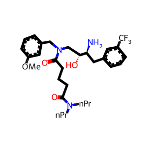 CCCN(CCC)C(=O)CCCC(=O)N(Cc1cccc(OC)c1)C[C@@H](O)[C@@H](N)Cc1cccc(C(F)(F)F)c1